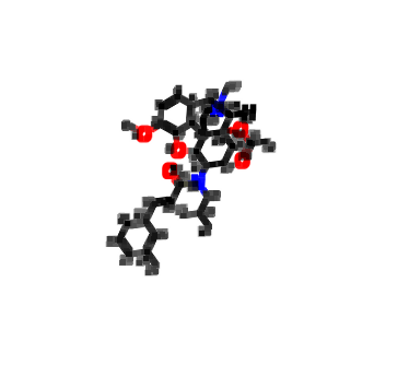 COc1ccc2c3c1OC1C(N(CC(C)C)C(=O)/C=C/c4cccc(C)c4)CC[C@@]4(OC(C)=O)[C@@H](C2)N(C)CC[C@]314